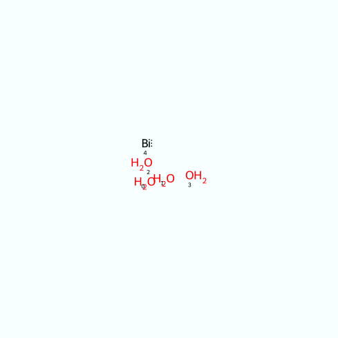 O.O.O.O.[Bi]